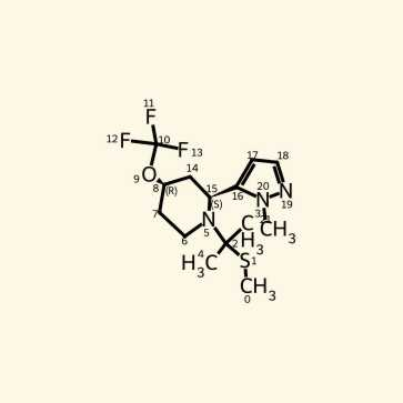 CSC(C)(C)N1CC[C@@H](OC(F)(F)F)C[C@H]1c1ccnn1C